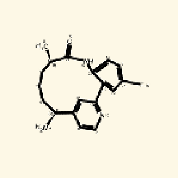 C[C@@H]1CCC[C@H](N)c2ccnc(c2)-c2cc(F)ccc2NC1=O